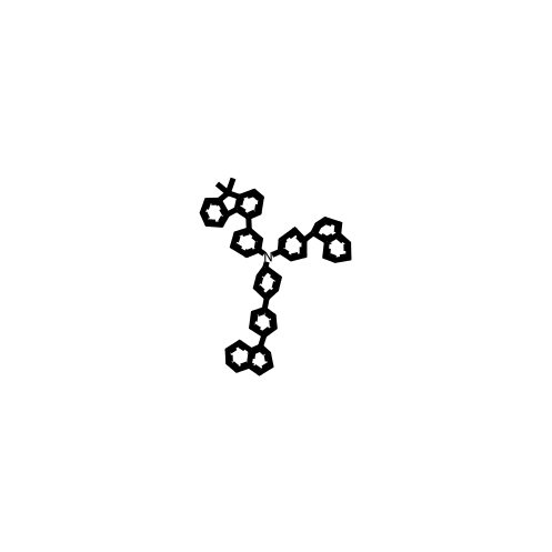 CC1(C)c2ccccc2-c2c(-c3cccc(N(c4ccc(-c5ccc(-c6cccc7ccccc67)cc5)cc4)c4ccc(-c5cccc6ccccc56)cc4)c3)cccc21